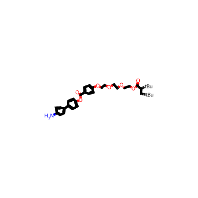 CC(C)(C)CC(C(=O)OCCOCCOCCOc1ccc(C(=O)Oc2ccc(-c3ccc(N)cc3)cc2)cc1)C(C)(C)C